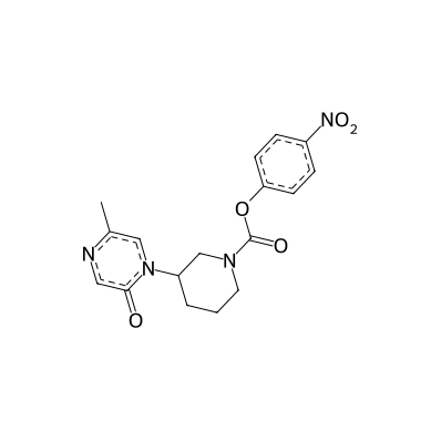 Cc1cn(C2CCCN(C(=O)Oc3ccc([N+](=O)[O-])cc3)C2)c(=O)cn1